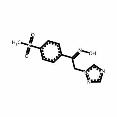 CS(=O)(=O)c1ccc(C(Cn2cncn2)=NO)cc1